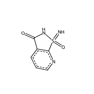 N=S1(=O)NC(=O)c2cccnc21